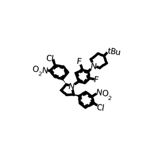 CC(C)(C)C1CCN(c2c(F)cc(N3[C@@H](c4ccc(Cl)c([N+](=O)[O-])c4)CC[C@@H]3c3ccc(Cl)c([N+](=O)[O-])c3)cc2F)CC1